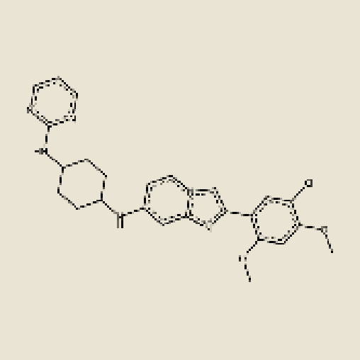 COc1cc(OC)c(-c2cn3ccc(NC4CCC(Nc5ncccn5)CC4)cc3n2)cc1Cl